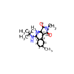 Cc1ccc2c(NC(C)(C)C)nc3c(c2c1)C(=O)N(C)C3=O